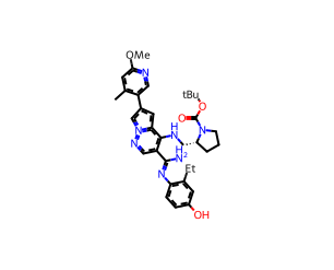 CCc1cc(O)ccc1/N=C(\N)c1cnn2cc(-c3cnc(OC)cc3C)cc2c1NC[C@H]1CCCN1C(=O)OC(C)(C)C